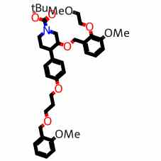 COCCOc1c(COC2CN(C(=O)OC(C)(C)C)CCC2c2ccc(OCCCOCc3ccccc3OC)cc2)cccc1OC